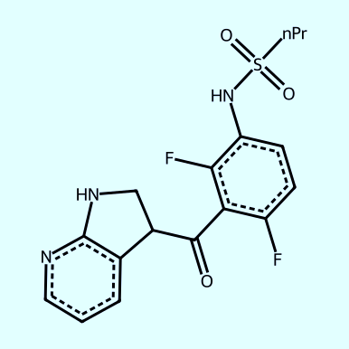 CCCS(=O)(=O)Nc1ccc(F)c(C(=O)C2CNc3ncccc32)c1F